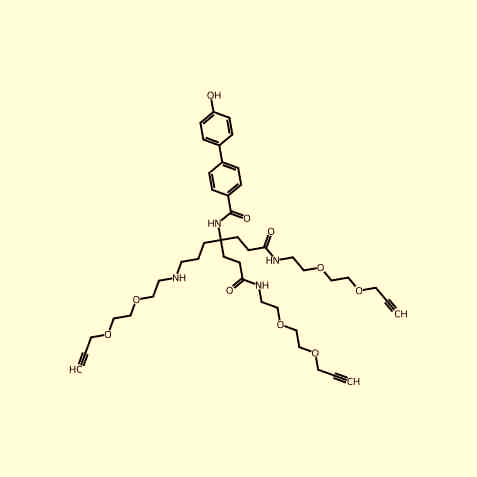 C#CCOCCOCCNCCCC(CCC(=O)NCCOCCOCC#C)(CCC(=O)NCCOCCOCC#C)NC(=O)c1ccc(-c2ccc(O)cc2)cc1